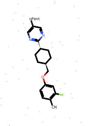 CCCCCc1cnc([C@H]2CC[C@H](COc3ccc(C#N)c(F)c3)CC2)nc1